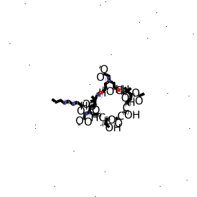 CCC/C=C/C=C/C(=O)O[C@H]1/C(=C/C(=O)OC)C[C@H]2C[C@H]([C@@H](C)O)OC(=O)C[C@H](O)C[C@@H]3C[C@H](OC(C)=O)C(C)(C)[C@H](C[C@@H]4C/C(=C/C(=O)OC)C[C@H](/C=C/C(C)(C)[C@]1(O)O2)O4)O3